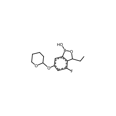 CCC1OB(O)c2cc(OC3CCCCO3)cc(F)c21